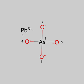 O=[As]([O-])([O-])[O-].[Pb+3]